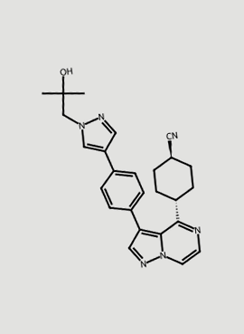 CC(C)(O)Cn1cc(-c2ccc(-c3cnn4ccnc([C@H]5CC[C@H](C#N)CC5)c34)cc2)cn1